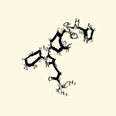 CN(C)C(=O)Cc1cc(Nc2ccc(S(=O)(=O)Nc3nccs3)c(F)c2)n(-c2ccccc2)n1